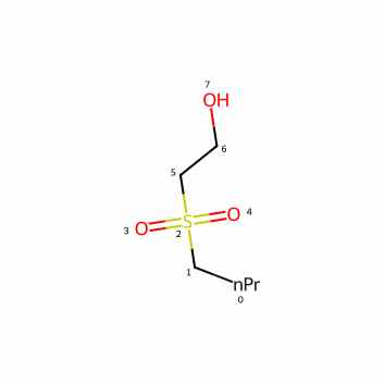 CCCCS(=O)(=O)CCO